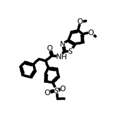 CCS(=O)(=O)c1ccc(C(Cc2ccccc2)C(=O)Nc2nc3cc(OC)c(OC)cc3s2)cc1